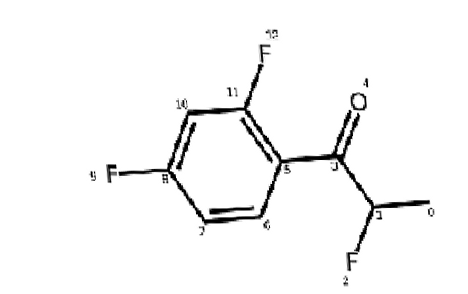 CC(F)C(=O)c1ccc(F)cc1F